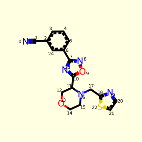 N#Cc1cccc(-c2noc(C3COCCN3Cc3nccs3)n2)c1